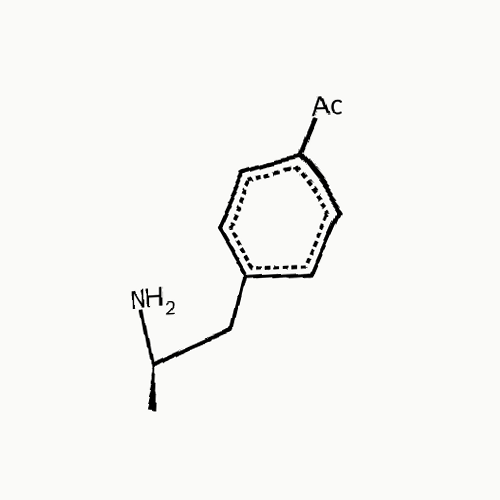 CC(=O)c1ccc(C[C@@H](C)N)cc1